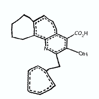 O=C(O)c1c(O)c(Cc2ccccc2)nc2c3c(ccc12)CCCC3